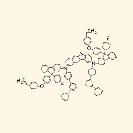 C=CC1=CCC(Oc2ccc(C3(c4ccc(F)cc4)C4=C(C=CCC4)C4=C3CC(N(C3=CC5=CC6C7=C(CCC(N(C8C=CC9=C(C8)C(C8=CCC(Oc%10ccc(C=C)cc%10)C=C8)(C8CC=C(F)CC8)c8ccccc89)C8CCC(C9=CCCC(C%10=CC=CCC%10)C9)CC8)=C7)SC6C=C5CC3)c3ccc(-c5cccc(C6CC=CCC6)c5)cc3)C=C4)cc2)C=C1